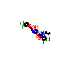 C=CC1CC1n1cc(C(=O)NN2CCN(CC(O)COc3ccc(Cl)c(F)c3)CC2)c(=O)c2cc(F)c(Cl)cc21